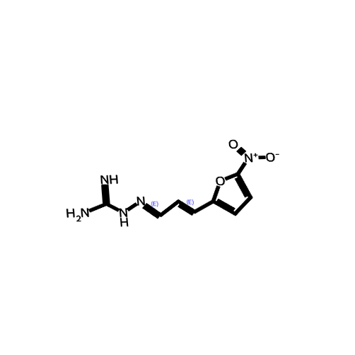 N=C(N)N/N=C/C=C/c1ccc([N+](=O)[O-])o1